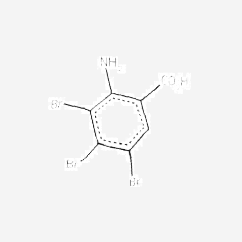 Nc1c(C(=O)O)cc(Br)c(Br)c1Br